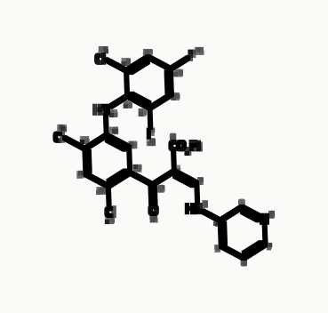 CCOC(=O)C(=CNc1cccnc1)C(=O)c1cc(Nc2c(F)cc(F)cc2Cl)c(Cl)cc1Cl